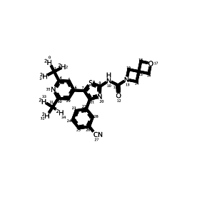 [2H]C([2H])([2H])c1cc(-c2sc(NC(=O)N3CC4(COC4)C3)nc2-c2cccc(C#N)c2)cc(C([2H])([2H])[2H])n1